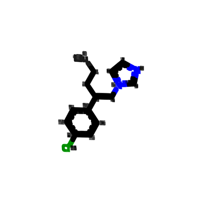 CC(C)(C)CC/C(=C\n1ccnc1)c1ccc(Cl)cc1